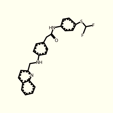 O=C(Cc1ccc(NCc2ccc3ccccc3n2)cc1)Nc1ccc(SC(F)F)cc1